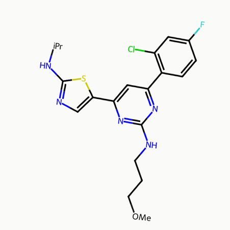 COCCCNc1nc(-c2cnc(NC(C)C)s2)cc(-c2ccc(F)cc2Cl)n1